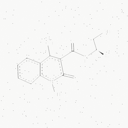 CC(=O)[C@H](CO)NC(=O)c1c(O)c2ccccc2n(C)c1=O